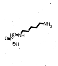 NCCCCCNO[PH](=O)O